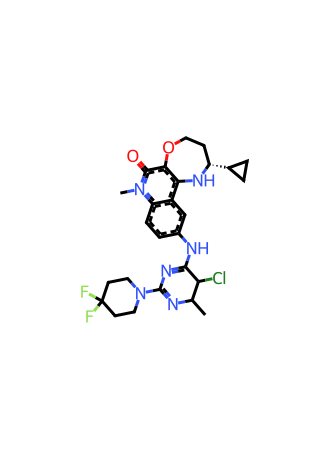 CC1N=C(N2CCC(F)(F)CC2)N=C(Nc2ccc3c(c2)c2c(c(=O)n3C)OCC[C@H](C3CC3)N2)C1Cl